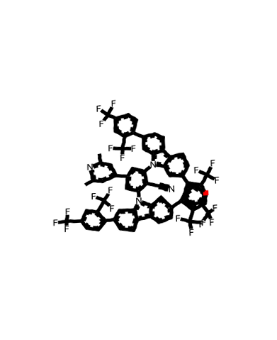 Cc1cc(-c2cc(-n3c4cc(-c5ccccc5C(F)(F)F)ccc4c4ccc(-c5ccc(C(F)(F)F)cc5C(F)(F)F)cc43)c(C#N)c(-n3c4cc(-c5ccc(C(F)(F)F)cc5C(F)(F)F)ccc4c4ccc(-c5ccc(C(F)(F)F)cc5C(F)(F)F)cc43)c2)cc(C)n1